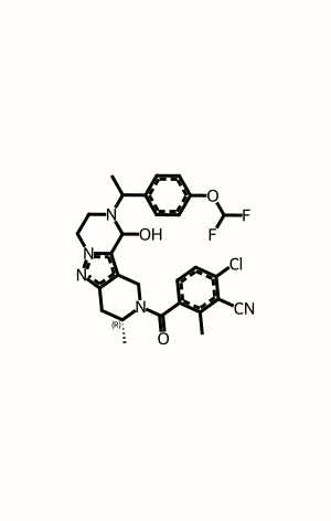 Cc1c(C(=O)N2Cc3c(nn4c3C(O)N(C(C)c3ccc(OC(F)F)cc3)CC4)C[C@H]2C)ccc(Cl)c1C#N